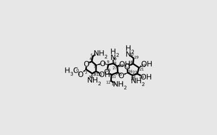 CO[C@H]1OC(CN)[C@@H](O[C@H]2OC(CN)[C@@H](O[C@H]3OC(CN)[C@@H](O)C(O)[C@@H]3N)C(O)[C@@H]2N)C(O)[C@@H]1N